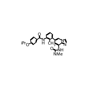 CNC(=O)Nc1cc(-c2cccc(NC(=O)c3ccc(OC(C)C)cc3)c2C)cn2ccnc12